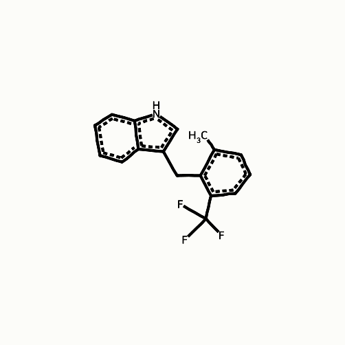 Cc1cccc(C(F)(F)F)c1Cc1c[nH]c2ccccc12